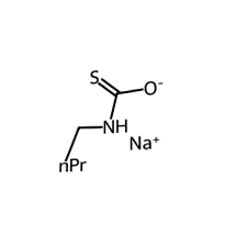 CCCCNC([O-])=S.[Na+]